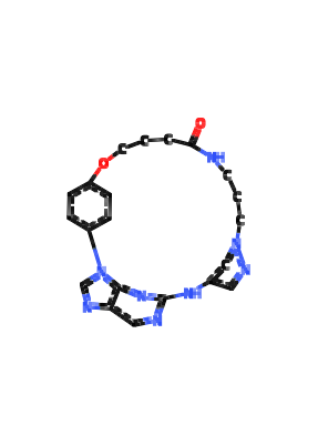 O=C1CCCOc2ccc(cc2)-n2cnc3cnc(nc32)Nc2cnn(c2)CCCN1